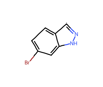 Brc1ccc2[c]n[nH]c2c1